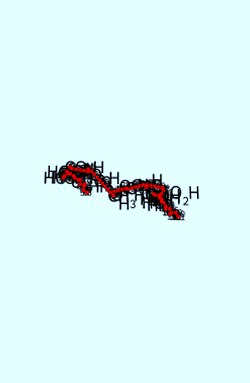 C[C@H](CCCCNC(=O)CCOCCOCCn1cc(COCCOCCSC2(C(=O)O)C[C@H](O)[C@@H](NC(=O)CO)[C@H]([C@H](O)[C@H](O)CNC(=O)Cc3ccc(-c4ccccc4)cc3)O2)nn1)NC(=O)CCCNC(=O)CCOCCOCCn1cc(COCCOCCC2C[C@@]2(C[C@H](O)[C@@H](NC(=O)CO)[C@@H](O)[C@H](O)[C@H](O)CNC(=O)Cc2ccc(-c3ccccc3)cc2)C(=O)O)nn1